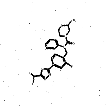 CC1CN(C(=O)N(Cc2ccc(-c3nnc(C(F)F)o3)cc2F)c2ccccc2)CCS1